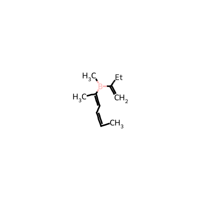 C=C(CC)B(C)/C(C)=C/C=C\C